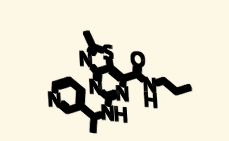 CCCNC(=O)c1nc(NC(C)c2cccnc2)nc2nc(C)sc12